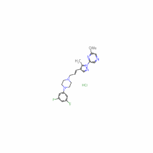 COc1cncc(-n2ncc(/C=C/CN3CCN(c4cc(F)cc(F)c4)CC3)c2C)n1.Cl